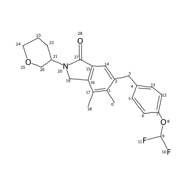 Cc1c(Cc2ccc(OC(F)F)cc2)cc2c(c1C)CN(C1CCCOC1)C2=O